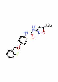 CC(C)(C)c1cc(NC(=O)Nc2ccc(OCc3ccccc3F)cc2)no1